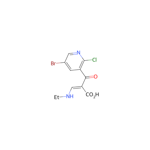 CCNC=C(C(=O)O)C(=O)c1cc(Br)cnc1Cl